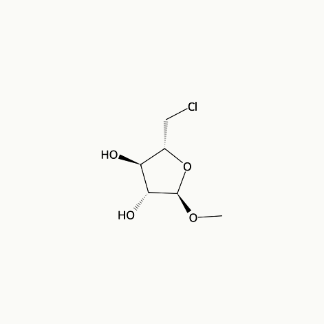 CO[C@@H]1O[C@@H](CCl)[C@H](O)[C@H]1O